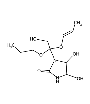 CC=COC(CO)(OCCC)N1C(=O)NC(O)C1O